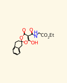 CCOC(=O)CNC(=O)C1=C(O)OC2(CCc3ccccc3C2)OC1=O